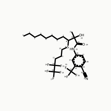 CCCCCCCCC(SCCCC(F)(F)C(F)(F)F)C(C)(O)C(=O)Nc1ccc(C#N)c(C(F)(F)F)c1